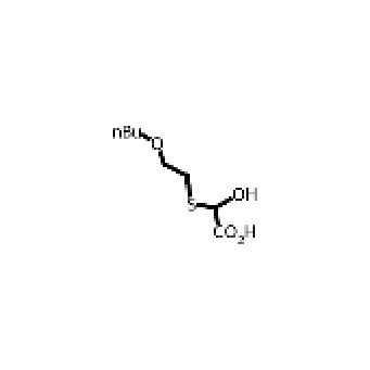 CCCCOCCSC(O)C(=O)O